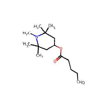 CN1C(C)(C)CC(OC(=O)CCCC=O)CC1(C)C